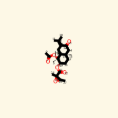 CC(=O)O[C@@]1(C)[C@@H]2CC(=C(C)C)C(=O)C[C@@]2(C)CC[C@H]1OC(=O)C1(C)OC1C